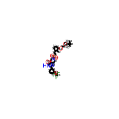 Cc1c(C=CS(=O)(=O)N2CCC3(CC2)N=C(c2cccc(OC(F)(F)F)c2)NC3=O)cccc1OCCO[Si](C)(C)C(C)(C)C